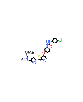 COCCN(Cc1ccc(-c2cc3nccc(Oc4ccc5oc(Nc6ccc(Cl)cc6)nc5c4)c3s2)nc1)C(C)=O